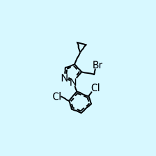 Clc1cccc(Cl)c1-n1ncc(C2CC2)c1CBr